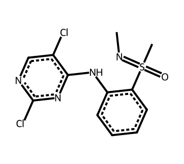 CN=S(C)(=O)c1ccccc1Nc1nc(Cl)ncc1Cl